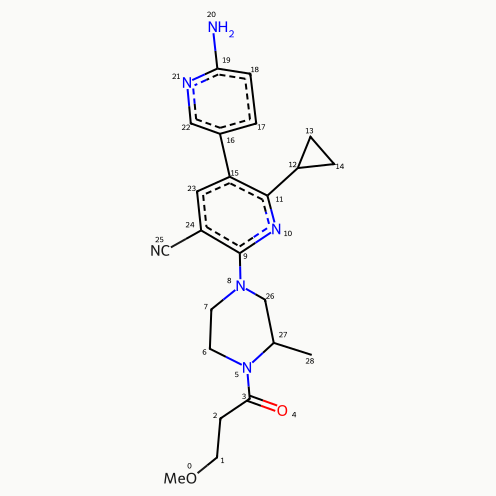 COCCC(=O)N1CCN(c2nc(C3CC3)c(-c3ccc(N)nc3)cc2C#N)CC1C